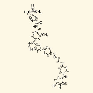 Cc1cc(-c2ncnn3cc(-c4ccc(COCCCc5ccc(NC6CCC(=O)NC6=O)cc5)cc4)cc23)ccc1CNC(=O)c1noc(C(C)(C)C)n1